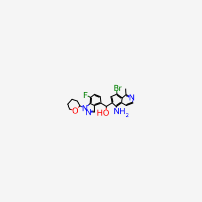 Cc1nccc2c(N)c(C(O)c3ccc(F)c4c3cnn4C3CCCCO3)cc(Br)c12